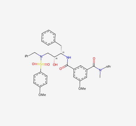 CCCN(C)C(=O)c1cc(OC)cc(C(=O)N[C@@H](Cc2ccccc2)[C@H](O)CN(CC(C)C)S(=O)(=O)c2ccc(OC)cc2)c1